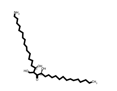 CCCCCCCCCCCCCC[C@H](O)C(=O)C(CO)[C@H](O)CCCCCCCCCCCCCCCN